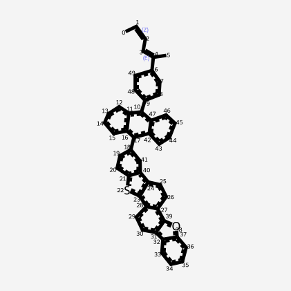 C/C=C\C=C(/C)c1ccc(-c2c3ccccc3c(-c3ccc4sc5c(ccc6c5ccc5c7ccccc7oc56)c4c3)c3ccccc23)cc1